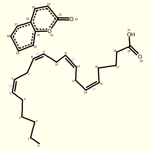 CCCCC/C=C\C/C=C\C/C=C\C/C=C\CCCC(=O)O.O=c1ccc2ccccc2o1